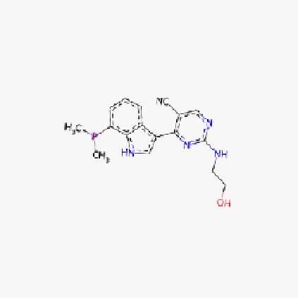 CP(C)c1cccc2c(-c3nc(NCCO)ncc3C#N)c[nH]c12